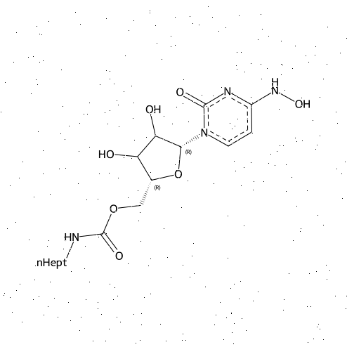 CCCCCCCNC(=O)OC[C@H]1O[C@@H](n2ccc(NO)nc2=O)C(O)C1O